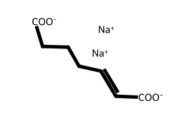 O=C([O-])C=CCCCC(=O)[O-].[Na+].[Na+]